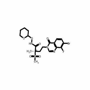 C[C@@](CCn1cnc2c(F)c(Br)ccc2c1=O)(C(=O)NOC1CCCCO1)S(C)(=O)=O